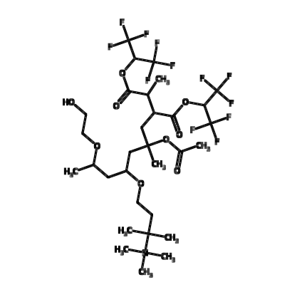 CC(=O)OC(C)(CC(CC(C)OCCO)OCCC(C)(C)[Si](C)(C)C)CC(C(=O)OC(C(F)(F)F)C(F)(F)F)C(C)C(=O)OC(C(F)(F)F)C(F)(F)F